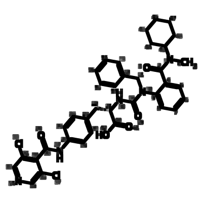 CN(C(=O)c1ccccc1N(Cc1ccccc1)C(=O)N[C@@H](Cc1ccc(NC(=O)c2c(Cl)cncc2Cl)cc1)C(=O)O)C1CCCCC1